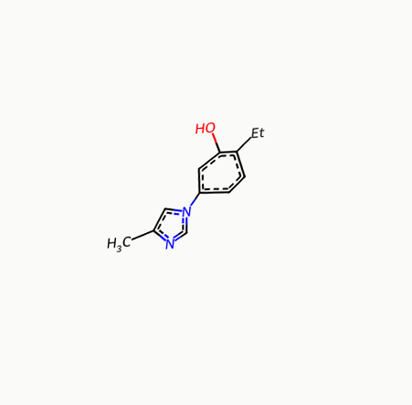 CCc1ccc(-n2cnc(C)c2)cc1O